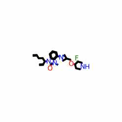 C=CCCC(C=C)n1c(=O)n(C)c2c(N3CC(COC4CCNCC4F)C3)cccc21